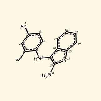 Cc1cc(Br)ccc1Nc1c(N)sc2ccccc12